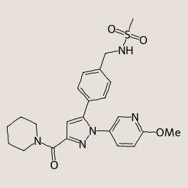 COc1ccc(-n2nc(C(=O)N3CCCCC3)cc2-c2ccc(CNS(C)(=O)=O)cc2)cn1